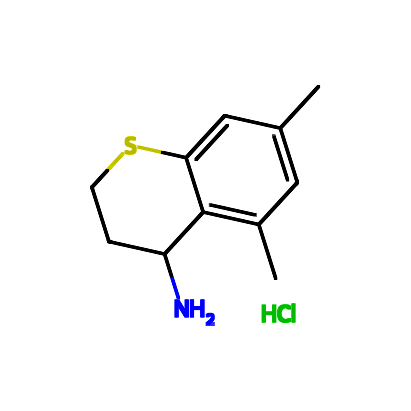 Cc1cc(C)c2c(c1)SCCC2N.Cl